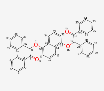 O=C(c1ccccc1)C(Oc1cccc2c(OC(C(=O)c3ccccc3)c3ccccc3)cccc12)c1ccccc1